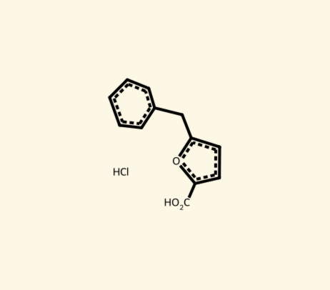 Cl.O=C(O)c1ccc(Cc2ccccc2)o1